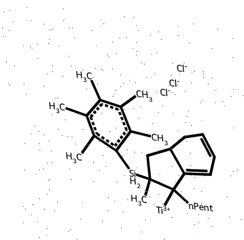 CCCCC[C]1([Ti+3])C2=CC=CCC2CC1(C)[SiH2]c1c(C)c(C)c(C)c(C)c1C.[Cl-].[Cl-].[Cl-]